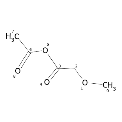 COCC(=O)OC(C)=O